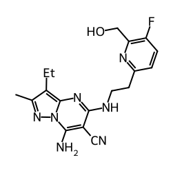 CCc1c(C)nn2c(N)c(C#N)c(NCCc3ccc(F)c(CO)n3)nc12